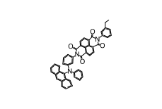 CCc1cccc(N2C(=O)c3ccc4c5c(ccc(c35)C2=O)C(=O)N(c2cccc(N(c3ccccc3)c3c5ccccc5cc5ccccc35)c2)C4=O)c1